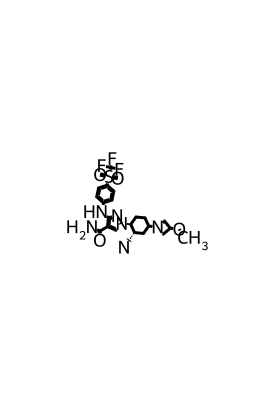 COC1CN(C2CC[C@H](n3cc(C(N)=O)c(Nc4ccc(S(=O)(=O)C(F)(F)F)cc4)n3)[C@@H](C#N)C2)C1